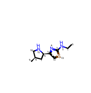 CCNc1nc([C@H]2C[C@@H](C)CN2)cs1